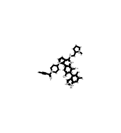 CC#CC(=O)N1CCC(n2ccc3c(OCC4CCCN4C)nc4c(F)c(-c5c(C)c(C)cc6[nH]ncc56)c(Cl)cc4c32)CC1